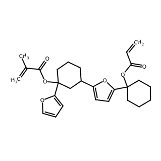 C=CC(=O)OC1(c2ccc(C3CCCC(OC(=O)C(=C)C)(c4ccco4)C3)o2)CCCCC1